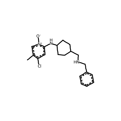 Cc1c[n+]([O-])c(NC2CCC(CNCc3ccccc3)CC2)cc1Cl